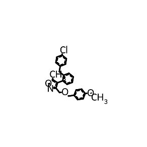 COc1ccc(COCc2noc(C)c2-c2ccccc2Cc2ccc(Cl)cc2)cc1